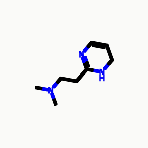 CN(C)CCC1=NC=CCN1